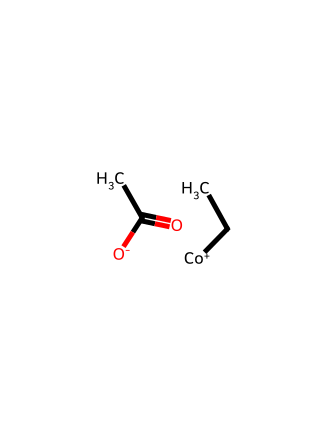 CC(=O)[O-].C[CH2][Co+]